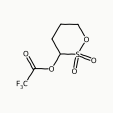 O=C(OC1CCCOS1(=O)=O)C(F)(F)F